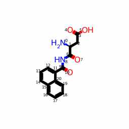 N[C@@H](CC(=O)O)C(=O)NC(=O)c1cccc2ccccc12